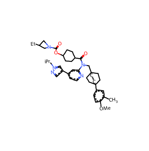 CCC1CN(C(=O)OC2CCC(C(=O)N(CC34CCC(c5ccc(OC)c(C)c5)(CC3)CC4)c3cc(-c4cnn(C(C)C)c4)ccn3)CC2)C1